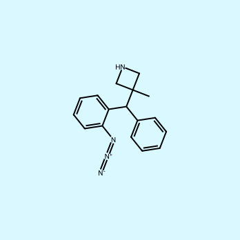 CC1(C(c2ccccc2)c2ccccc2N=[N+]=[N-])CNC1